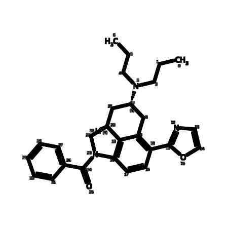 CCCN(CCC)[C@@H]1Cc2c(-c3ncco3)ccc3c2[C@@H](C1)CN3C(=O)c1ccccc1